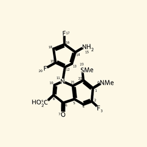 CNc1c(F)cc2c(=O)c(C(=O)O)cn(-c3cc(N)c(F)cc3F)c2c1SC